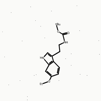 CCCCOC(=O)NCCc1c[nH]c2cc(OCC)ccc12